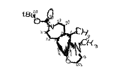 Cc1c2c(cc3c1N(C)CCO3)CCN(C(=O)OC(C)(C)C)CC2